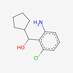 Nc1cccc(Cl)c1C(O)C1CCCC1